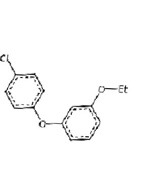 CCOc1cccc(Oc2ccc(Cl)cc2)c1